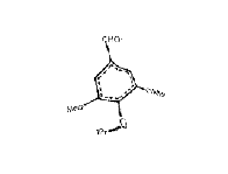 COc1cc([C]=O)cc(OC)c1OC(C)C